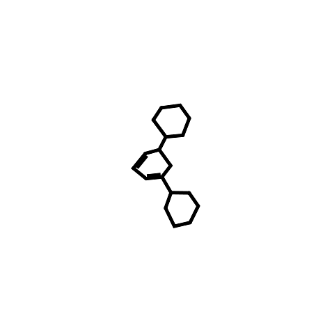 C1=C[C](C2CCCCC2)CC(C2CCCCC2)=C1